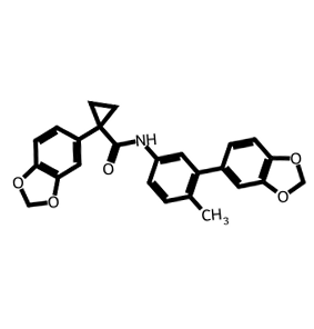 Cc1ccc(NC(=O)C2(c3ccc4c(c3)OCO4)CC2)cc1-c1ccc2c(c1)OCO2